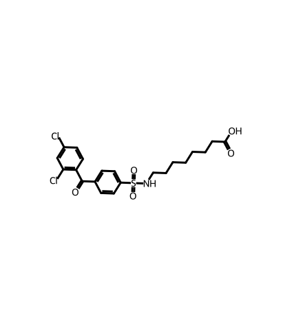 O=C(O)CCCCCCCNS(=O)(=O)c1ccc(C(=O)c2ccc(Cl)cc2Cl)cc1